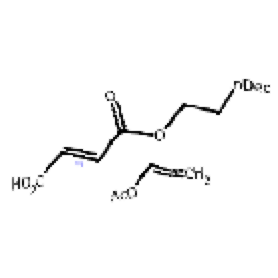 C=COC(C)=O.CCCCCCCCCCCCOC(=O)/C=C/C(=O)O